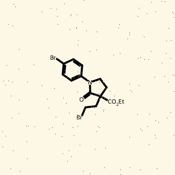 CCOC(=O)C1(CCBr)CCN(c2ccc(Br)cc2)C1=O